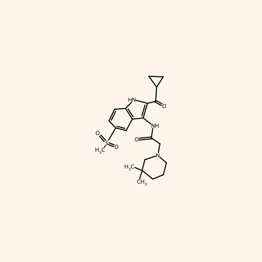 CC1(C)CCCN(CC(=O)Nc2c(C(=O)C3CC3)[nH]c3ccc(S(C)(=O)=O)cc23)C1